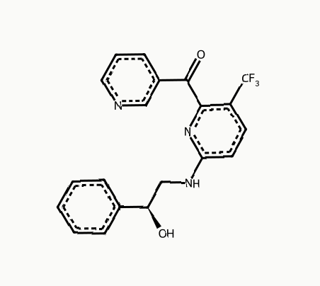 O=C(c1cccnc1)c1nc(NC[C@@H](O)c2ccccc2)ccc1C(F)(F)F